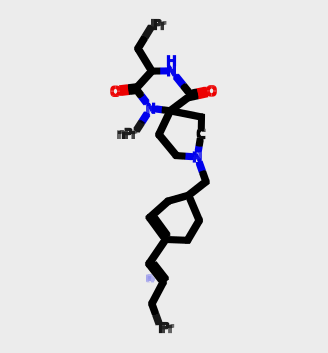 CCCN1C(=O)C(CC(C)C)NC(=O)C12CCN(CC1CC=C(/C=C/CC(C)C)CC1)CC2